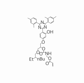 C=CC(=O)OCNC(=O)OC(COCC(CC)CCCC)COc1ccc(-c2nc(-c3ccc(C)cc3C)nc(-c3ccc(C)cc3C)n2)c(O)c1